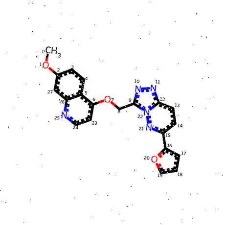 COc1ccc2c(OCc3nnc4ccc(-c5ccco5)nn34)ccnc2c1